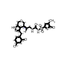 Cc1cc(S(=O)(=O)NC(=O)NC/C(F)=C2\COCc3[nH]nc(Cc4ccc(Cl)cc4Cl)c32)sc1Cl